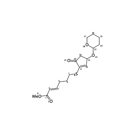 COC(=O)C=CCCCSC1=CC(OC2CCCCO2)CC1=O